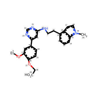 CCOc1cc(-c2cc(NCCc3cccc4c3ccn4C)ncn2)ccc1OCC(=O)O